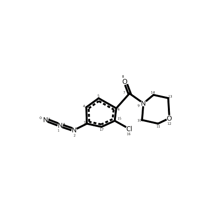 [N-]=[N+]=Nc1ccc(C(=O)N2CCOCC2)c(Cl)c1